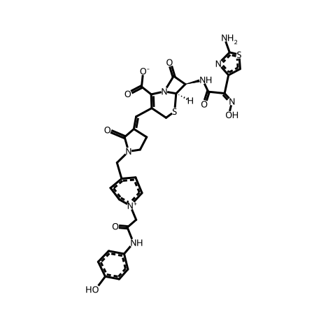 Nc1nc(/C(=N/O)C(=O)N[C@@H]2C(=O)N3C(C(=O)[O-])=C(C=C4CCN(Cc5cc[n+](CC(=O)Nc6ccc(O)cc6)cc5)C4=O)CS[C@H]23)cs1